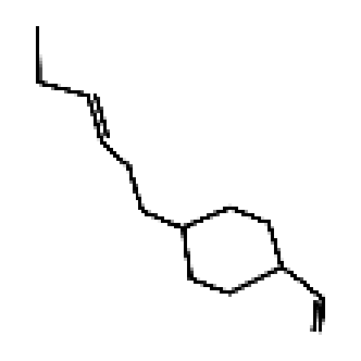 C=CC1CCC(CC/C=C/CC)CC1